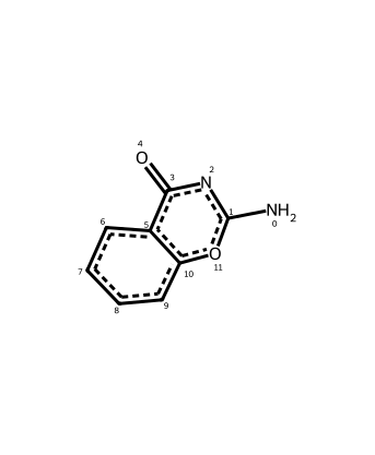 Nc1nc(=O)c2ccccc2o1